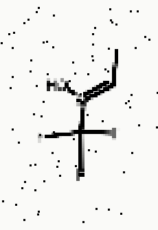 CC=[Si](O)C(F)(F)F